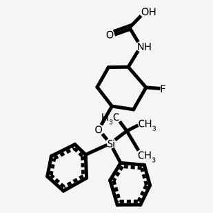 CC(C)(C)[Si](OC1CCC(NC(=O)O)C(F)C1)(c1ccccc1)c1ccccc1